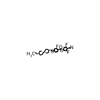 CCC[C@H]1CC[C@H]([C@H]2CC[C@H](COc3ccc(C(=O)Oc4cc(F)c(C#N)c(F)c4)c(F)c3)CC2)CC1